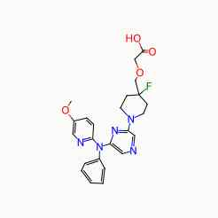 COc1ccc(N(c2ccccc2)c2cncc(N3CCC(F)(COCC(=O)O)CC3)n2)nc1